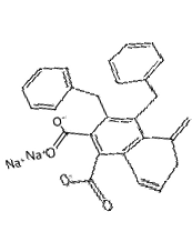 C=C1CC=Cc2c1c(Cc1ccccc1)c(Cc1ccccc1)c(C(=O)[O-])c2C(=O)[O-].[Na+].[Na+]